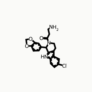 NCCC(=O)N1CCc2c([nH]c3ccc(Cl)cc23)C1c1ccc2c(c1)OCO2